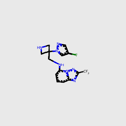 Fc1cnn(C2(CNc3cccc4nc(C(F)(F)F)nn34)CNC2)c1